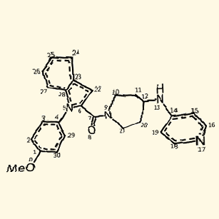 COc1ccc(-n2c(C(=O)N3CCC(Nc4ccncc4)CC3)cc3ccccc32)cc1